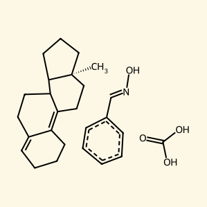 C[C@@]12CCCC1C1CCC3=CCCCC3=C1CC2.O=C(O)O.ON=Cc1ccccc1